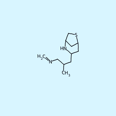 C=NCC(C)CC1CC2CC(CS2)N1